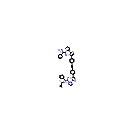 N[C@@H](C(=O)N1CCC[C@H]1c1ncc(-c2ccc(C#Cc3ccc(-c4cnc([C@@H]5CCCN5C(=O)[C@H](NC(=O)C5CC5)c5ccccc5)[nH]4)cc3)cc2)[nH]1)c1ccccc1